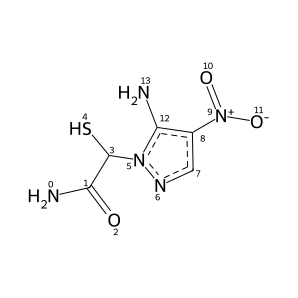 NC(=O)C(S)n1ncc([N+](=O)[O-])c1N